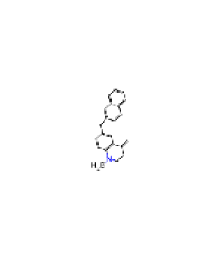 BN1CCC(=C)c2cc(Cc3ccc4ccccc4c3)ccc21